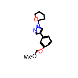 COCOc1[c]c(-c2cnn(C3CCCCO3)c2)ccc1